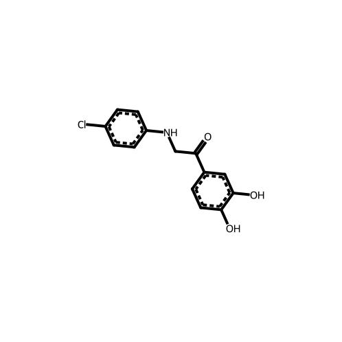 O=C(CNc1ccc(Cl)cc1)c1ccc(O)c(O)c1